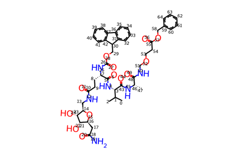 CC(C)[C@H](NC(=O)[C@H](CCC(=O)NC[C@H]1O[C@@H](CC(N)=O)[C@H](O)[C@@H]1O)NC(=O)OCC1c2ccccc2-c2ccccc21)C(=O)N[C@@H](C)C(=O)NCOCCC(=O)OCc1ccccc1